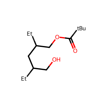 CCC(CO)CC(CC)COC(=O)C(C)(C)C